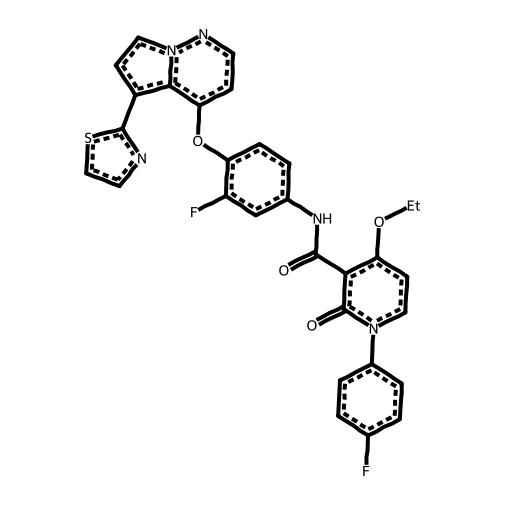 CCOc1ccn(-c2ccc(F)cc2)c(=O)c1C(=O)Nc1ccc(Oc2ccnn3ccc(-c4nccs4)c23)c(F)c1